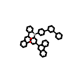 c1ccc(-c2cccc(-c3ccc(N(c4cccc(-c5cc6ccccc6c6ccccc56)c4)c4ccccc4-c4ccc5ccccc5c4)cc3)c2)cc1